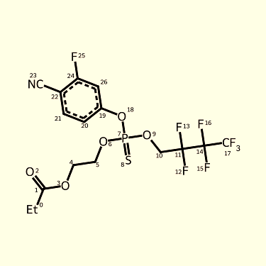 CCC(=O)OCCOP(=S)(OCC(F)(F)C(F)(F)C(F)(F)F)Oc1ccc(C#N)c(F)c1